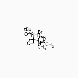 Cc1nc(Br)c(C2(N[S+]([O-])C(C)(C)C)COC2)n1C